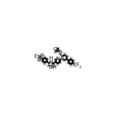 CCS(=O)(=O)c1ccc([C@H](CO)NC(=O)c2ccc(N3CC(c4ccc(C(F)(F)F)cc4)CC[C@H]3COC3COC3)nc2)cc1